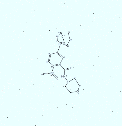 O=C(NC1CCOCC1)c1cc(N2CCN3CCC2CC3)ccc1[N+](=O)[O-]